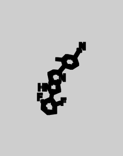 Cc1cc(C#N)ccc1-c1ccc2[nH]c(-c3c(F)cccc3F)cc2n1